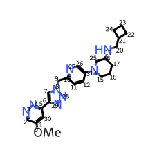 COc1cnnc(-c2cn(Cc3ccc(N4CCC[C@@H](NCC5CCC5)C4)cn3)nn2)c1